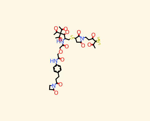 CC(=O)C1(C(=O)CCN2C(=O)CC(SCC(NC(=O)COCC(=O)Nc3ccc(CCC(=O)N4CCC4=O)cc3)C(=O)C(C(C)=O)(C(C)=O)C(C)=O)C2=O)SS1